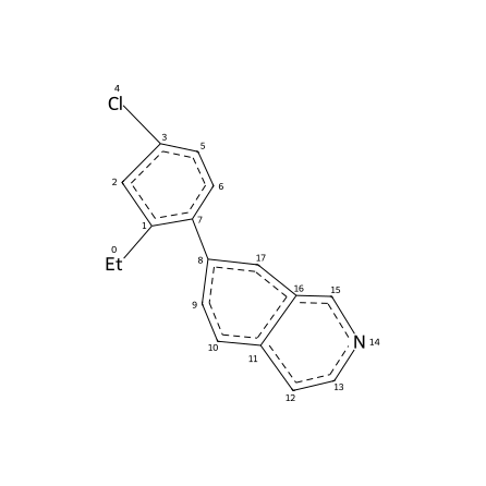 CCc1cc(Cl)ccc1-c1ccc2ccncc2c1